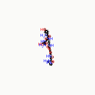 N#C[C@@H]1CCCN1C(=O)[C@@H](N)CCC(=O)NCCOCCOCC(=O)NCCCC[C@H](NCC(=O)[C@@H](N)Cc1ccc(O)cc1)C(=O)CN[C@@H](CO)C(N)=O